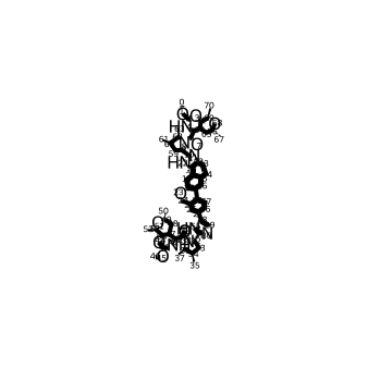 COC(=O)N[C@H](C(=O)N1C(c2nc3ccc4cc5c(cc4c3[nH]2)OCc2cc(-c3cnc([C@H]4C[C@@H](C)[C@@H](C)N4C(=O)[C@@H](NC(=O)OC)C4C[C@@H](C)O[C@H](C)C4)[nH]3)ccc2-5)C[C@@H](C)[C@H]1C)C1C[C@@H](C)O[C@H](C)C1